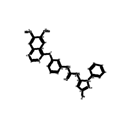 COc1cc2ncnc(Sc3cccc(NC(=O)Nc4cc(C(C)C)nn4-c4ccccc4)c3)c2cc1OC